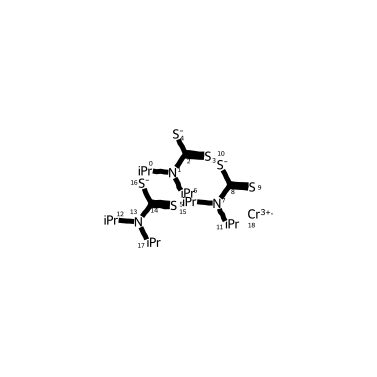 CC(C)N(C(=S)[S-])C(C)C.CC(C)N(C(=S)[S-])C(C)C.CC(C)N(C(=S)[S-])C(C)C.[Cr+3]